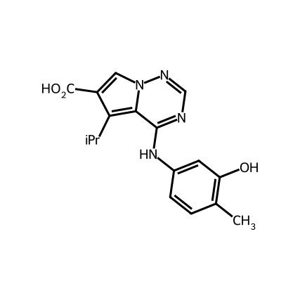 Cc1ccc(Nc2ncnn3cc(C(=O)O)c(C(C)C)c23)cc1O